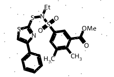 CCN(Sc1nc(-c2ccccc2)cs1)S(=O)(=O)c1cc(C)c(C)c(C(=O)OC)c1